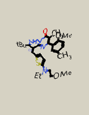 CCN(CCOC)c1ccc(/C=c2/c(C(C)(C)C)nn3c(=O)c(C)c(-c4cc(C)ccc4OC)nc23)s1